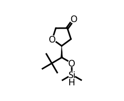 C[SiH](C)OC([C@@H]1CC(=O)CO1)C(C)(C)C